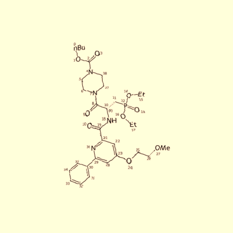 CCCCOC(=O)N1CCN(C(=O)[C@H](CP(=O)(OCC)OCC)NC(=O)c2cc(OCCOC)cc(-c3ccccc3)n2)CC1